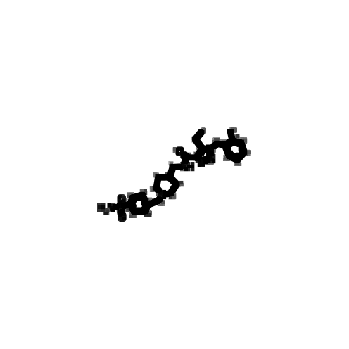 CCc1c(C(=O)NCC2CCN(Cc3ccc(S(N)(=O)=O)cc3)CC2)nnn1Cc1ccccc1C